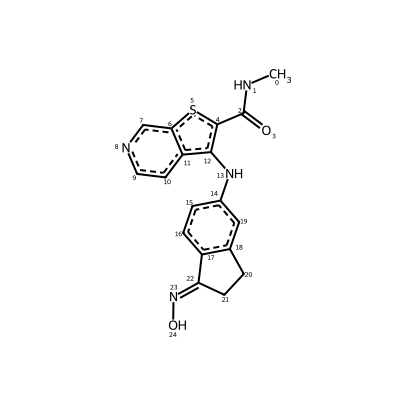 CNC(=O)c1sc2cnccc2c1Nc1ccc2c(c1)CCC2=NO